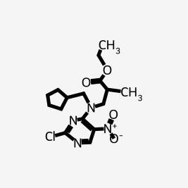 CCOC(=O)C(C)CN(CC1CCCC1)c1nc(Cl)ncc1[N+](=O)[O-]